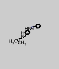 CN(C)CCNCc1ccc(N/N=C/c2ccccc2)cc1